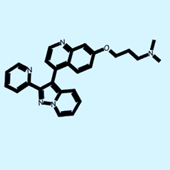 CN(C)CCCOc1ccc2c(-c3c(-c4ccccn4)nn4ccccc34)ccnc2c1